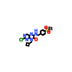 CCS(=O)(=O)c1ccc(CNc2nc3cnc(Cl)nc3n(CC3CCC3)c2=O)cc1